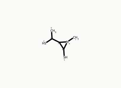 CC(S)C1C(S)N1C